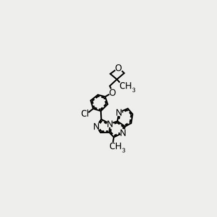 Cc1nc2cccnc2n2c(-c3cc(OCC4(C)COC4)ccc3Cl)ncc12